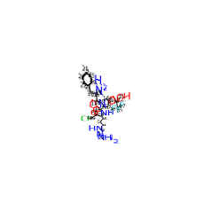 NN=CNCCC[C@H](NC(=O)[C@@H]1CCCN1C(=O)[C@H](N)Cc1ccccc1)C(=O)CCl.O=C(O)C(F)(F)F